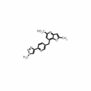 Cc1cc2nc(C(=O)O)cc(Cc3ccc(-c4cn(C)nn4)nc3)c2o1